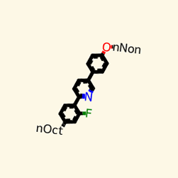 CCCCCCCCCOc1ccc(-c2ccc(-c3ccc(CCCCCCCC)cc3F)nc2)cc1